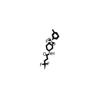 Cc1cccc(S(=O)(=O)[C@]2(F)CC[C@H](NC(=O)CCC(F)(F)F)CC2)c1